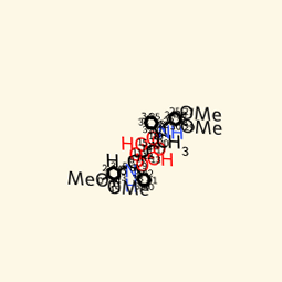 COc1ccc(CN[C@@](C)(OC(=O)C(O)C(O)C(=O)O[C@](C)(NCc2ccc(OC)c(OC)c2)c2ccccc2)c2ccccc2)cc1OC